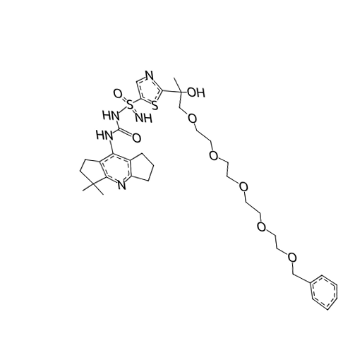 CC1(C)CCc2c1nc1c(c2NC(=O)NS(=N)(=O)c2cnc(C(C)(O)COCCOCCOCCOCCOCc3ccccc3)s2)CCC1